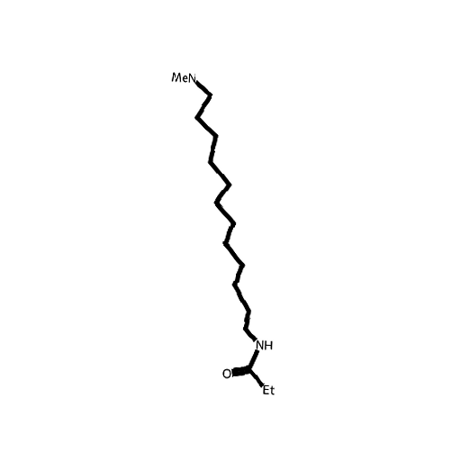 CCC(=O)NCCCCCCCCCCCCNC